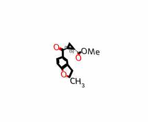 COC(=O)[C@H]1C[C@@H]1C(=O)c1ccc2c(c1)CC(C)O2